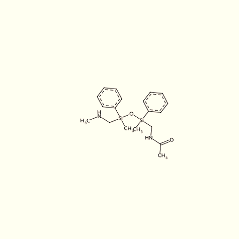 CNC[Si](C)(O[Si](C)(CNC(C)=O)c1ccccc1)c1ccccc1